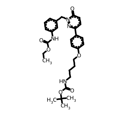 CCOC(=O)Nc1cccc(Cn2nc(-c3ccc(OCCCCNC(=O)OC(C)(C)C)cc3)ccc2=O)c1